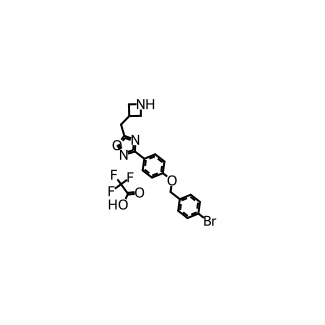 Brc1ccc(COc2ccc(-c3noc(CC4CNC4)n3)cc2)cc1.O=C(O)C(F)(F)F